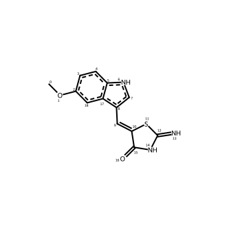 COc1ccc2[nH]cc(C=C3SC(=N)NC3=O)c2c1